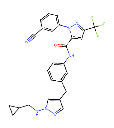 N#Cc1cccc(-n2nc(C(F)(F)F)cc2C(=O)Nc2cccc(Cc3cnn(NCC4CC4)c3)c2)c1